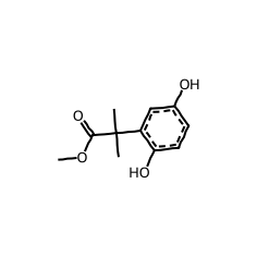 COC(=O)C(C)(C)c1cc(O)ccc1O